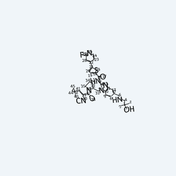 CC(C)(O)CNCc1ccc2c(c1)nc(NC(=O)c1ccc(-c3ccnc(F)c3)s1)n2CC1CCCN1C(=O)C(C#N)=CC1(C)CC1